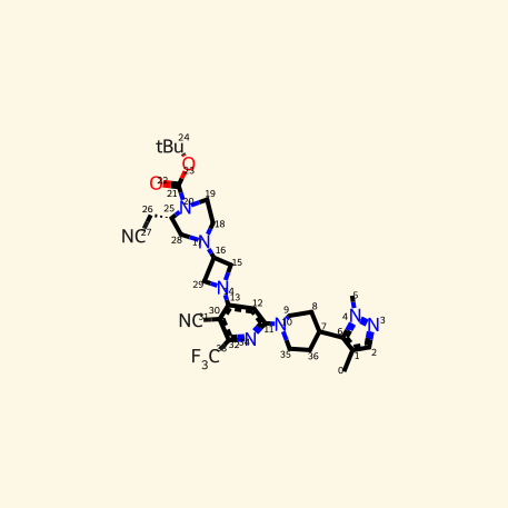 Cc1cnn(C)c1C1CCN(c2cc(N3CC(N4CCN(C(=O)OC(C)(C)C)[C@@H](CC#N)C4)C3)c(C#N)c(C(F)(F)F)n2)CC1